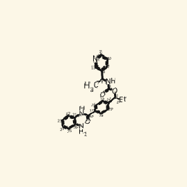 CC[C@H](OC(=O)N[C@@H](C)c1cccnc1)c1ccc(C(=O)Nc2ccccc2N)cc1